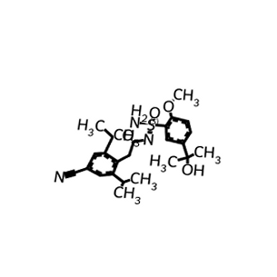 COc1ccc(C(C)(C)O)cc1[S@@](N)(=O)=NC(=O)Cc1c(C(C)C)cc(C#N)cc1C(C)C